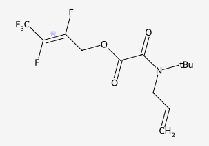 C=CCN(C(=O)C(=O)OC/C(F)=C(\F)C(F)(F)F)C(C)(C)C